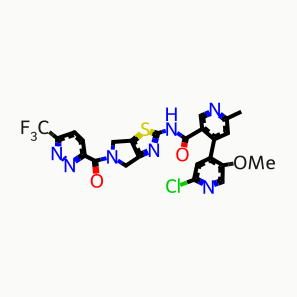 COc1cnc(Cl)cc1-c1cc(C)ncc1C(=O)Nc1nc2c(s1)CN(C(=O)c1ccc(C(F)(F)F)nn1)C2